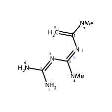 C=C(/N=C(\N=C(N)N)NC)NC